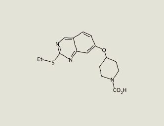 CCSc1ncc2ccc(OC3CCN(C(=O)O)CC3)cc2n1